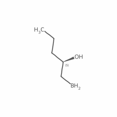 BC[C@H](O)CCC